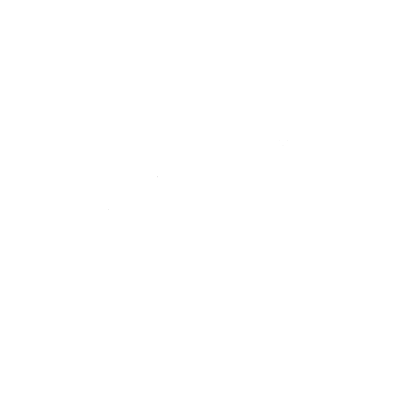 O=[C]CC1CCCCO1